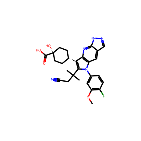 COc1cc(-n2c(C(C)(C)CC#N)c([C@H]3CC[C@](O)(C(=O)O)CC3)c3nc4[nH]ncc4cc32)ccc1F